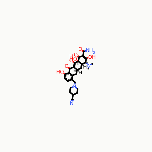 CN(C)[C@@H]1C(O)=C(C(N)=O)C(=O)[C@@]2(O)C(O)=C3C(=O)c4c(O)ccc(CN5CCC(C#N)CC5)c4C[C@H]3C[C@@H]12